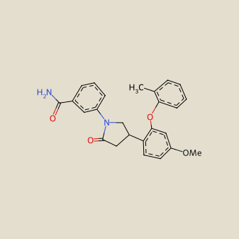 COc1ccc(C2CC(=O)N(c3cccc(C(N)=O)c3)C2)c(Oc2ccccc2C)c1